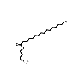 CC(C)CCCCCCCCCCCCCCC(=O)OCCCC(=O)O